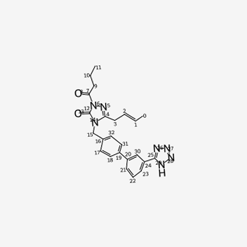 CC=CCc1nn(C(=O)CCC)c(=O)n1Cc1ccc(-c2cccc(-c3nnn[nH]3)c2)cc1